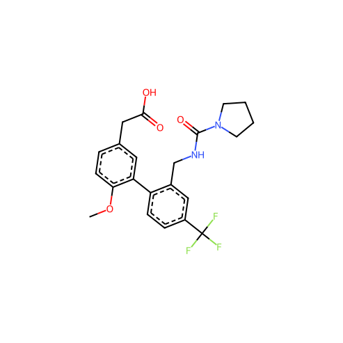 COc1ccc(CC(=O)O)cc1-c1ccc(C(F)(F)F)cc1CNC(=O)N1CCCC1